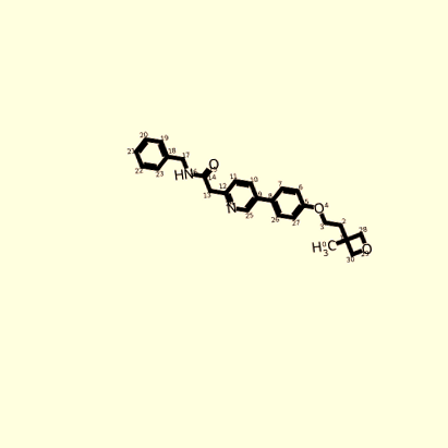 CC1(CCOc2ccc(-c3ccc(CC(=O)NCc4ccccc4)nc3)cc2)COC1